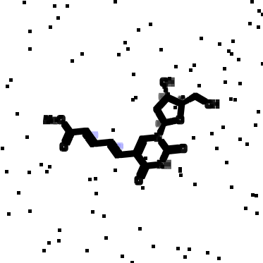 COC(=O)/C=C/C=C/c1cn([C@H]2C[C@H](O)[C@@H](CO)O2)c(=O)[nH]c1=O